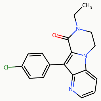 CCN1CCn2c(c(-c3ccc(Cl)cc3)c3ncccc32)C1=O